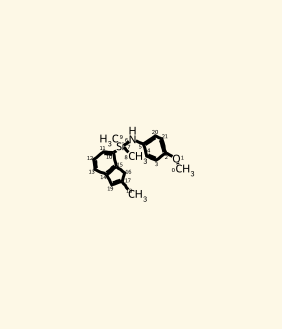 COc1ccc(N[Si](C)(C)c2cccc3c2CC(C)=C3)cc1